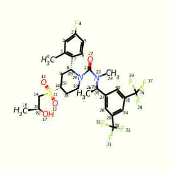 Cc1cc(F)ccc1[C@H]1C[C@@H](S(=O)(=O)C[C@H](C)O)CCN1C(=O)N(C)[C@H](C)c1cc(C(F)(F)F)cc(C(F)(F)F)c1